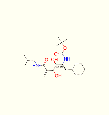 C=C(C(=O)NCC(C)C)C(O)[C@@H](O)[C@H](CC1CCCCC1)NC(=O)OC(C)(C)C